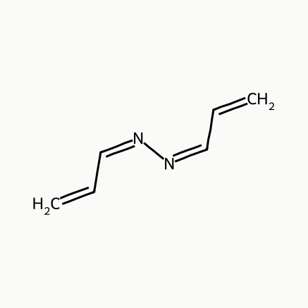 C=C/C=N\N=C/C=C